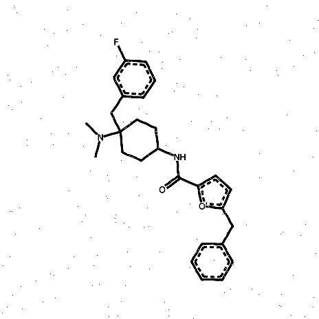 CN(C)C1(Cc2cccc(F)c2)CCC(NC(=O)c2ccc(Cc3ccccc3)o2)CC1